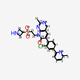 Cc1cccc(-c2ccc(-c3cc4cnc(C)nc4n(CCS(=O)(=O)C4CNC4)c3=O)c(Cl)c2)n1